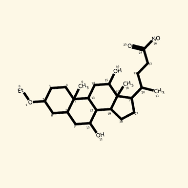 CCOC1CCC2(C)C(C1)CC(O)C1C2CC(O)C2(C)C(C(C)CCC(=O)N=O)CCC12